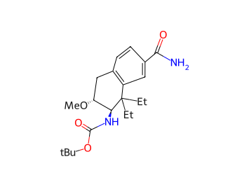 CCC1(CC)c2cc(C(N)=O)ccc2C[C@@H](OC)[C@@H]1NC(=O)OC(C)(C)C